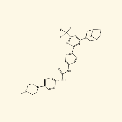 CN1CCN(c2ccc(NC(=O)Nc3ccc(-c4nc(N5CC6CCC(C5)O6)cc(C(F)(F)F)n4)cc3)cc2)CC1